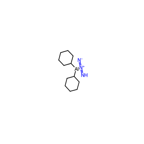 C1CC[CH]([Al][CH]2CCCCC2)CC1.[N-]=[N+]=N